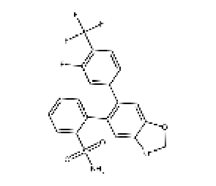 NS(=O)(=O)c1ccccc1-c1cc2c(cc1-c1ccc(C(F)(F)F)c(F)c1)OCO2